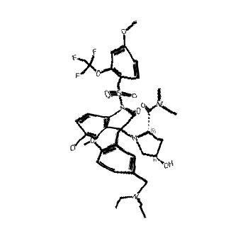 CCN(CC)Cc1ccc(OC)c(C2(N3C[C@H](O)C[C@H]3C(=O)N(C)C)C(=O)N(S(=O)(=O)c3ccc(OC)cc3OC(F)(F)F)c3ccc(Cl)cc32)c1